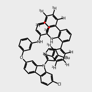 [2H]c1c([2H])c([2H])c(-c2cccc(-c3c([2H])c([2H])c([2H])c([2H])c3[2H])c2Nc2ccccc2Nc2cccc(Oc3ccc4c5ccc(Cl)cc5n(-c5cc(C(C)(C)C)ccn5)c4c3)c2)c([2H])c1[2H]